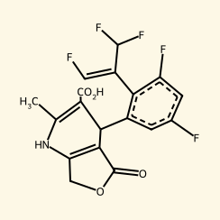 CC1=C(C(=O)O)C(c2cc(F)cc(F)c2C(=CF)C(F)F)C2=C(COC2=O)N1